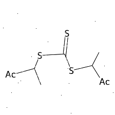 CC(=O)C(C)SC(=S)SC(C)C(C)=O